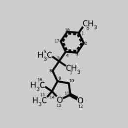 Cc1ccc(C(C)(C)CC2CC(=O)OC2(C)C)cc1